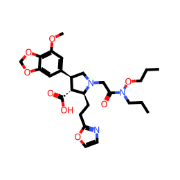 CCCON(CCC)C(=O)CN1C[C@H](c2cc(OC)c3c(c2)OCO3)[C@@H](C(=O)O)[C@@H]1CCc1ncco1